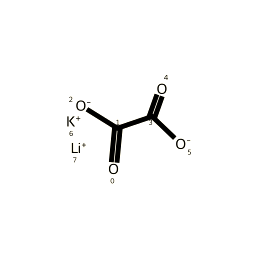 O=C([O-])C(=O)[O-].[K+].[Li+]